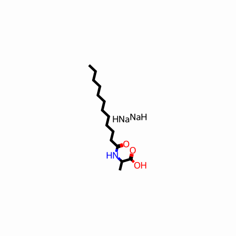 CCCCCCCCCCCC(=O)NC(C)C(=O)O.[NaH].[NaH]